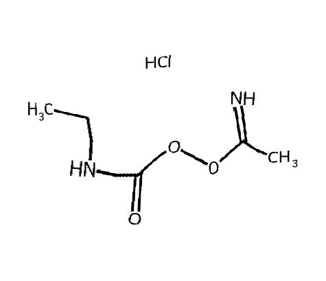 CCNC(=O)OOC(C)=N.Cl